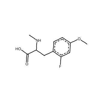 CNC(Cc1ccc(OC)cc1F)C(=O)O